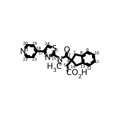 CN(C(=O)C1(CC(=O)O)Cc2ccccc2C1)c1nc(-c2ccncc2)cs1